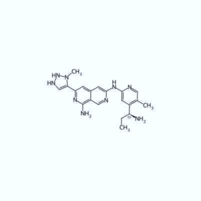 CC[C@H](N)c1cc(Nc2cc3cc(C4=CNNN4C)nc(N)c3cn2)ncc1C